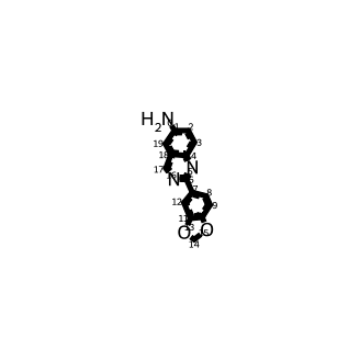 Nc1ccc2nc(-c3ccc4c(c3)OCO4)ncc2c1